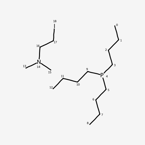 CCCCP(CCCC)CCCC.CN(C)CCI